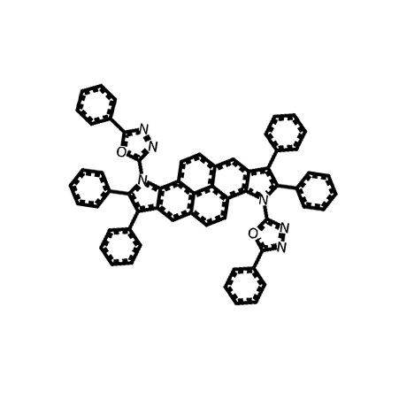 c1ccc(-c2nnc(-n3c(-c4ccccc4)c(-c4ccccc4)c4cc5ccc6c7c(ccc(c57)c43)cc3c(-c4ccccc4)c(-c4ccccc4)n(-c4nnc(-c5ccccc5)o4)c36)o2)cc1